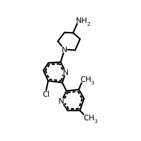 Cc1cnc(-c2nc(N3CCC(N)CC3)ccc2Cl)c(C)c1